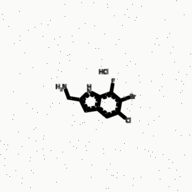 Cl.NCc1cc2cc(Cl)c(Br)c(F)c2[nH]1